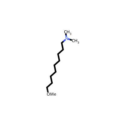 COCCCCCCCCCN(C)C